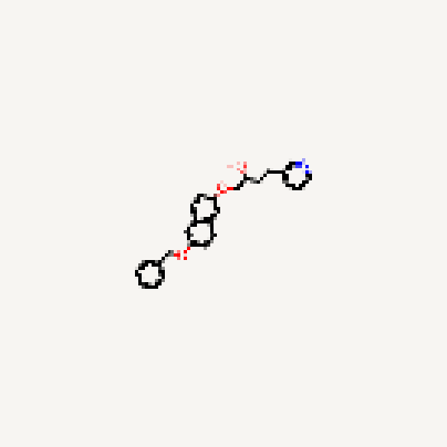 OC(CCc1cccnc1)COc1ccc2cc(OCc3ccccc3)ccc2c1